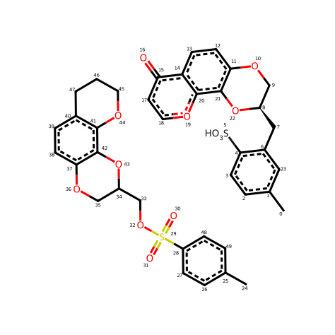 Cc1ccc(S(=O)(=O)O)c(C[C@@H]2COc3ccc4c(=O)ccoc4c3O2)c1.Cc1ccc(S(=O)(=O)OCC2COc3ccc4c(c3O2)OCCC4)cc1